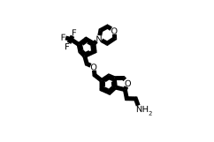 NCCC1OCc2cc(COCc3cc(N4CCOCC4)cc(C(F)(F)F)c3)ccc21